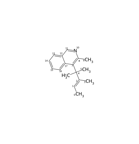 C/C=C(\C)C(C)(C)c1c(C)ncc2ccccc12